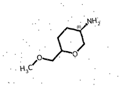 COCC1CC[C@@H](N)CO1